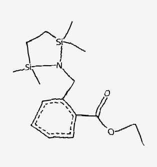 CCOC(=O)c1ccccc1CN1[Si](C)(C)CC[Si]1(C)C